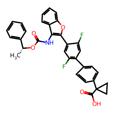 C[C@@H](OC(=O)Nc1c(-c2cc(F)c(-c3ccc(C4(C(=O)O)CC4)cc3)cc2F)oc2ccccc12)c1ccccc1